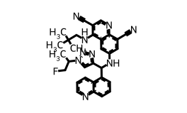 CC(CF)n1cc(C(Nc2cc(C#N)c3ncc(C#N)c(NCC(C)(C)C)c3c2)c2cccc3ncccc23)nn1